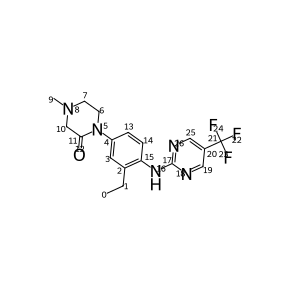 CCc1cc(N2CCN(C)CC2=O)ccc1Nc1ncc(C(F)(F)F)cn1